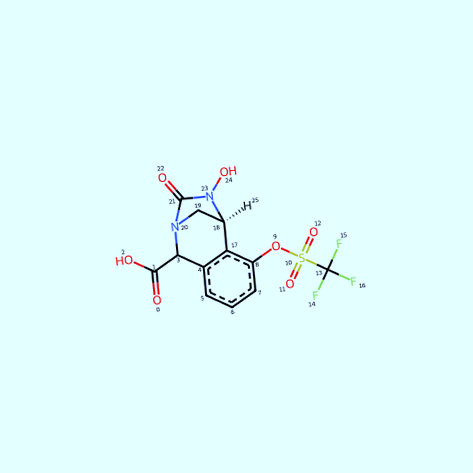 O=C(O)C1c2cccc(OS(=O)(=O)C(F)(F)F)c2[C@H]2CN1C(=O)N2O